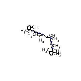 CC1=C(/C=C/C(C)=C/C=C/C(C)=C/COC\C(O)=C(C)/C=C/C=C(C)/C=C/C2=C(C)CCCC2(C)C)C(C)(C)CCC1